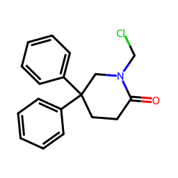 O=C1CCC(c2ccccc2)(c2ccccc2)CN1CCl